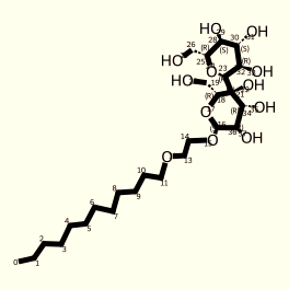 CCCCCCCCCCCCOCCO[C@H]1O[C@H](CO)[C@](O)([C@@H]2O[C@H](CO)[C@@H](O)[C@H](O)[C@H]2O)[C@H](O)[C@H]1O